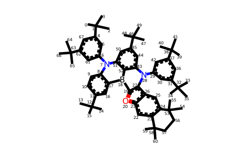 CC(C)(C)c1cc(N2c3ccc(C(C)(C)C)cc3B3c4oc5cc6c(cc5c4N(c4cc(C(C)(C)C)cc(C(C)(C)C)c4)c4cc(C(C)(C)C)cc2c43)C(C)(C)CCC6(C)C)cc(C(C)(C)C)c1